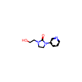 O=C1N(CCO)CCN1c1cccnc1